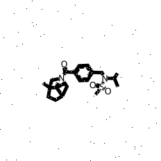 CC(C)N(Cc1ccc(C(=O)N2CC3CCC(C)(C2)C3(C)C)cc1)S(C)(=O)=O